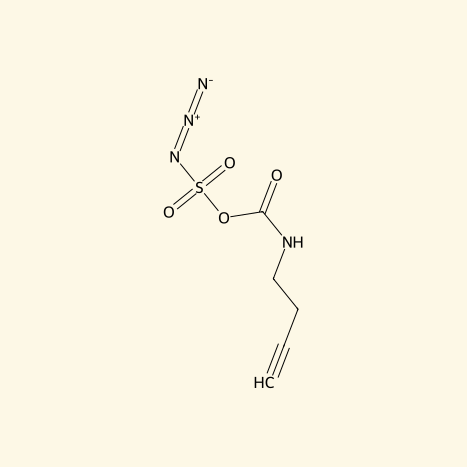 C#CCCNC(=O)OS(=O)(=O)N=[N+]=[N-]